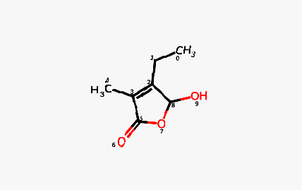 CCC1=C(C)C(=O)OC1O